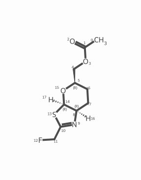 CC(=O)OC[C@H]1[CH][CH][C@H]2N=C(CF)S[C@H]2O1